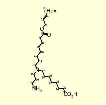 CCCCCCC=CCOC(=O)CCCCCCCN(CCCN)CCCCCCCC(=O)O